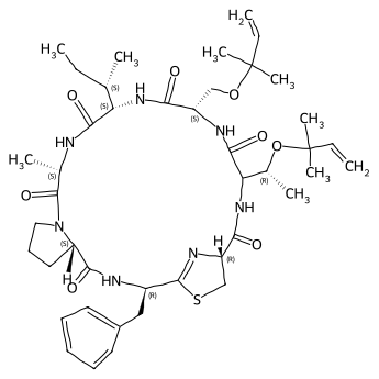 C=CC(C)(C)OC[C@@H]1NC(=O)C([C@@H](C)OC(C)(C)C=C)NC(=O)[C@@H]2CSC(=N2)[C@@H](Cc2ccccc2)NC(=O)[C@@H]2CCCN2C(=O)[C@H](C)NC(=O)[C@H]([C@@H](C)CC)NC1=O